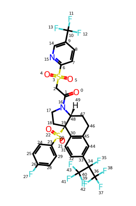 O=C(CS(=O)(=O)c1ccc(C(F)(F)F)cn1)N1CC[C@@]2(S(=O)(=O)c3ccc(F)cc3)c3ccc(C(F)(C(F)(F)F)C(F)(F)F)cc3CC[C@@H]12